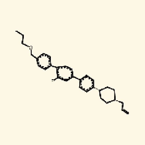 C=CC[C@H]1CC[C@H](c2ccc(-c3ccc(-c4ccc(COCCC)cc4)c(F)c3)cc2)CC1